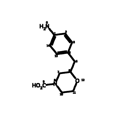 Nc1ccc(CC2CN(C(=O)O)CCO2)cc1